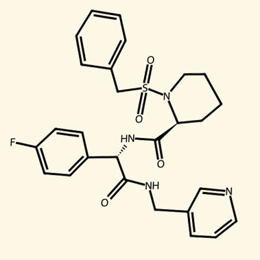 O=C(NCc1cccnc1)[C@@H](NC(=O)[C@@H]1CCCCN1S(=O)(=O)Cc1ccccc1)c1ccc(F)cc1